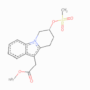 CCCOC(=O)Cc1c2n(c3ccccc13)CC(OS(C)(=O)=O)CC2